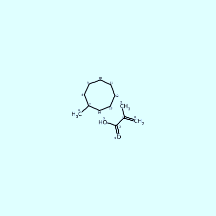 C=C(C)C(=O)O.CC1CCCCCCC1